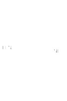 CC(C)NC(C)CCCCN